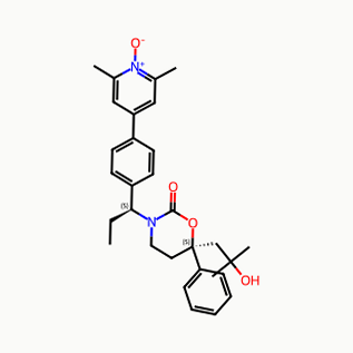 CC[C@@H](c1ccc(-c2cc(C)[n+]([O-])c(C)c2)cc1)N1CC[C@](CC(C)(C)O)(c2ccccc2)OC1=O